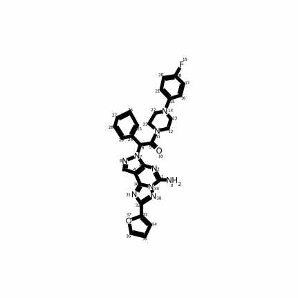 Nc1nc2c(cnn2C(C(=O)N2CCN(c3ccc(F)cc3)CC2)c2ccccc2)c2nc(-c3ccco3)nn12